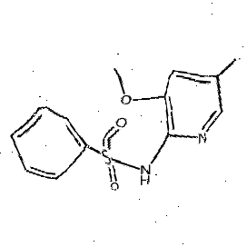 [CH2]c1cnc(NS(=O)(=O)c2ccccc2)c(OC)c1